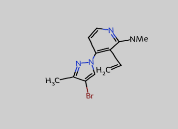 C=Cc1c(-n2cc(Br)c(C)n2)ccnc1NC